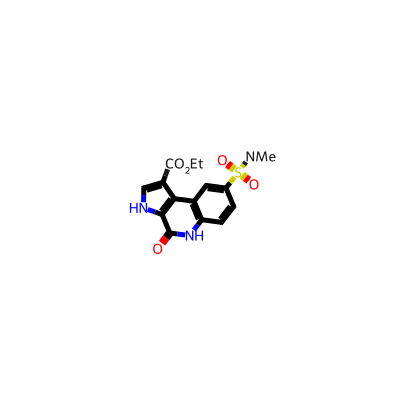 CCOC(=O)c1c[nH]c2c(=O)[nH]c3ccc(S(=O)(=O)NC)cc3c12